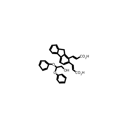 O=C(O)C=Cc1ccc2c(c1C=CC(=O)O)Cc1ccccc1-2.OCC(Oc1ccccc1)Oc1ccccc1